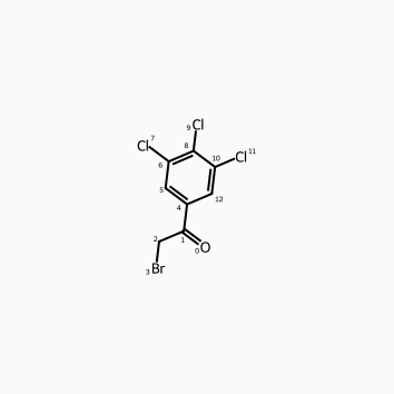 O=C(CBr)c1cc(Cl)c(Cl)c(Cl)c1